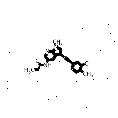 C=CC(=O)Nc1cnc2c(c1)c(C#Cc1ccc(C)c(Cl)c1)cn2C